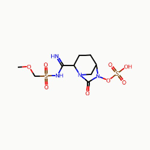 COCS(=O)(=O)NC(=N)C1CCC2CN1C(=O)N2OS(=O)(=O)O